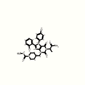 CC(C(N)=O)n1c(=O)c2c(nc(-c3ccccc3Cl)n2-c2ccc(Cl)cc2)n(CC2CCN(C(=O)OC(C)(C)C)CC2)c1=O